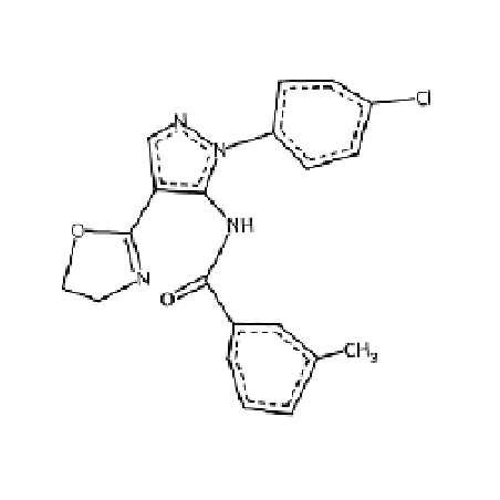 Cc1cccc(C(=O)Nc2c(C3=NCCO3)cnn2-c2ccc(Cl)cc2)c1